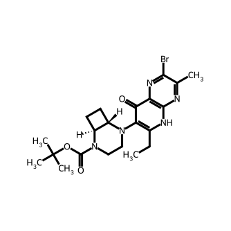 CCc1[nH]c2nc(C)c(Br)nc2c(=O)c1N1CCN(C(=O)OC(C)(C)C)[C@H]2CC[C@@H]21